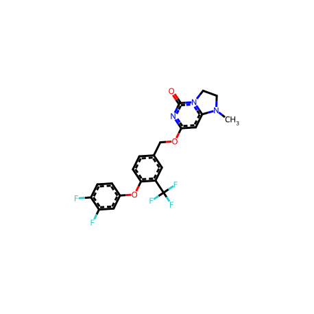 CN1CCn2c1cc(OCc1ccc(Oc3ccc(F)c(F)c3)c(C(F)(F)F)c1)nc2=O